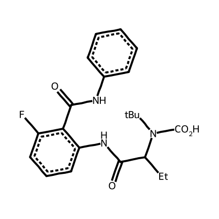 CCC(C(=O)Nc1cccc(F)c1C(=O)Nc1ccccc1)N(C(=O)O)C(C)(C)C